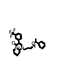 CC(O/N=C\CCn1cc(-c2cccc(C(F)(F)F)c2)c(=O)[n+]2ccccc12)c1ccccc1